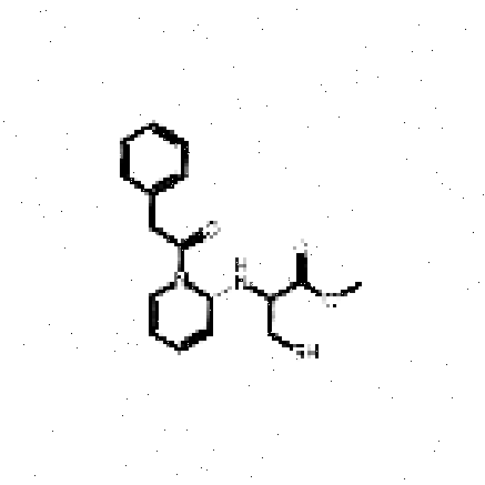 COC(=O)C(CS)N[C@@H]1C=CC=CN1C(=O)Cc1ccccc1